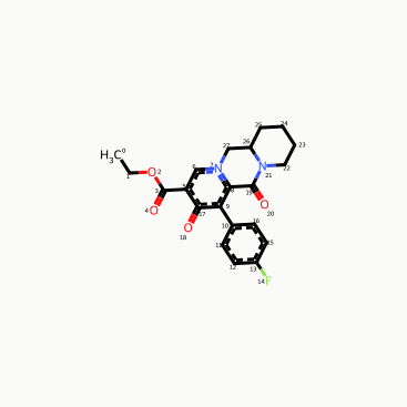 CCOC(=O)c1cn2c(c(-c3ccc(F)cc3)c1=O)C(=O)N1CCCCC1C2